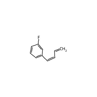 C=C/C=C\c1cccc(F)c1